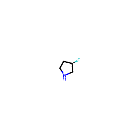 F[C@@H]1[CH]CNC1